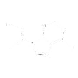 CC(C)(C)OC(=O)N1C=NC2=C(Cl)C=CNC21